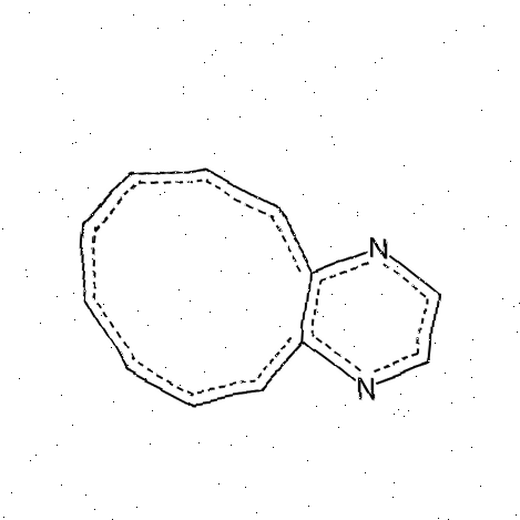 c1ccccc2nccnc2ccc1